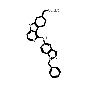 CCOC(=O)CC1CCc2c(sc3ncnc(Nc4ccc5c(cnn5Cc5ccccc5)c4)c23)C1